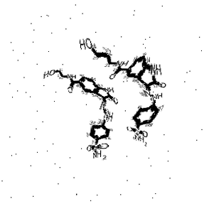 NS(=O)(=O)c1ccc(NN=C2C(=O)Nc3ccc(C(=O)NCCCO)cc32)cc1.NS(=O)(=O)c1ccc(NN=C2C(=O)Nc3ccc(C(=O)NCCO)cc32)cc1